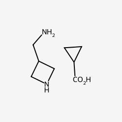 NCC1CNC1.O=C(O)C1CC1